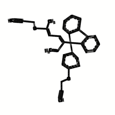 C#CCO/C(C)=C/C=C(\C=C)C1(c2ccc(OCC#C)cc2)c2ccccc2-c2ccccc21